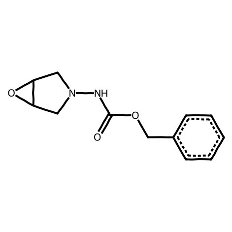 O=C(NN1CC2OC2C1)OCc1ccccc1